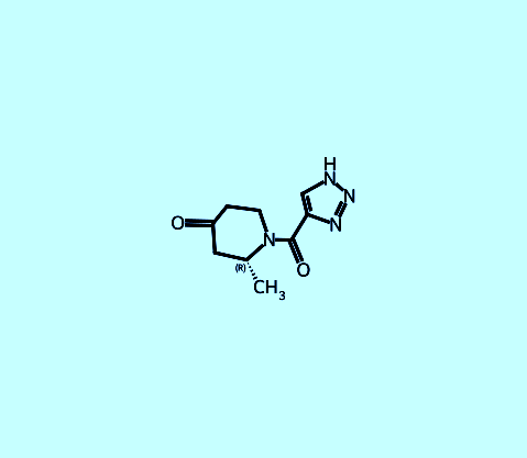 C[C@@H]1CC(=O)CCN1C(=O)c1c[nH]nn1